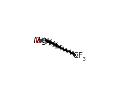 FC(F)(F)CCCCCCCCCCCCCCCCC[CH2][Mg][Br]